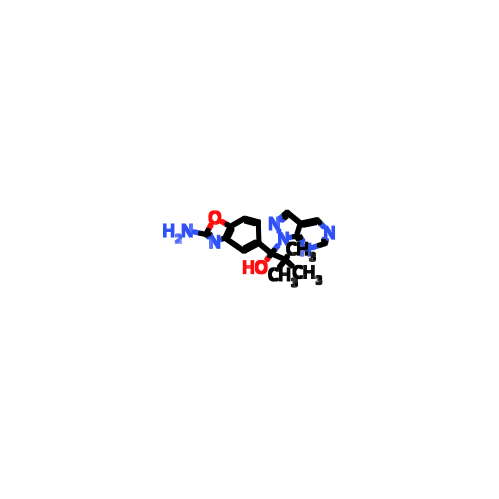 CC(C)(C)C(O)(c1ccc2oc(N)nc2c1)n1ncc2cncnc21